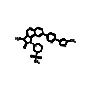 Cn1cc(-c2ccc(-c3ccc4ncc5c(c4c3)n([C@@H]3CCCN(S(N)(=O)=O)C3)c(=O)n5C)cn2)cn1